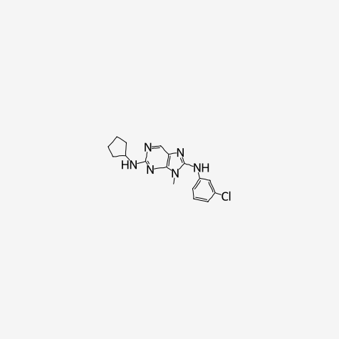 Cn1c(Nc2cccc(Cl)c2)nc2cnc(NC3CCCC3)nc21